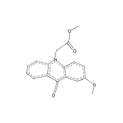 COC(=O)Cn1c2ccccc2c(=O)c2cc(OC)ccc21